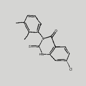 Cc1cccc(-n2c(=S)[nH]c3cc(Cl)ccc3c2=O)c1C